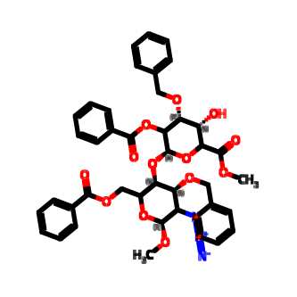 COC(=O)C1O[C@@H](O[C@@H]2C(COC(=O)c3ccccc3)O[C@H](OC)C(N=[N+]=[N-])[C@@H]2OCc2ccccc2)C(OC(=O)c2ccccc2)[C@H](OCc2ccccc2)[C@@H]1O